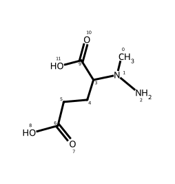 CN(N)C(CCC(=O)O)C(=O)O